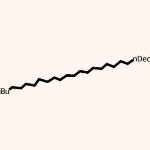 CCCCCCCCCCCCCCCCCCCCCCCCCCCCC(C)CC